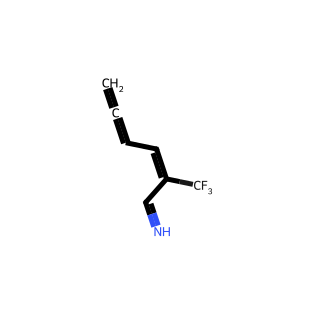 C=C=C/C=C(\C=N)C(F)(F)F